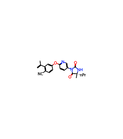 C=C(C)c1cc(Oc2ccc(N3C(=O)N[C@](C)(CCC)C3=O)cn2)ccc1C#N